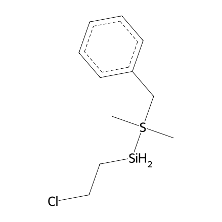 CS(C)(Cc1ccccc1)[SiH2]CCCl